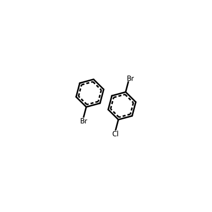 Brc1ccccc1.Clc1ccc(Br)cc1